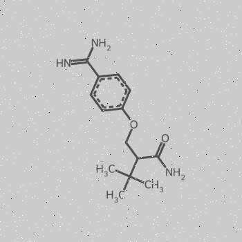 CC(C)(C)C(COc1ccc(C(=N)N)cc1)C(N)=O